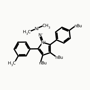 CCCCC1=C(c2ccc(CCCC)cc2)[N+](=[N-])C(c2cccc(C)c2)=C1CCCC.[CH3][Ni][CH3]